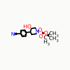 CC(C)(C)OC(=O)ON1CCC(c2ccc(C#N)cc2)C(O)C1